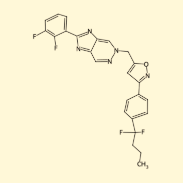 CCCC(F)(F)c1ccc(-c2cc(Cn3cc4nc(-c5cccc(F)c5F)nc-4cn3)on2)cc1